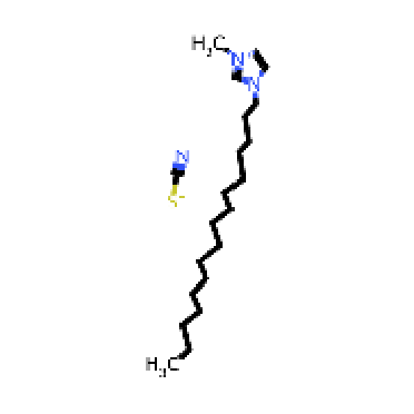 CCCCCCCCCCCCCCCCn1cc[n+](C)c1.N#C[S-]